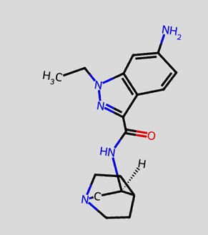 CCn1nc(C(=O)N[C@@H]2CN3CCC2CC3)c2ccc(N)cc21